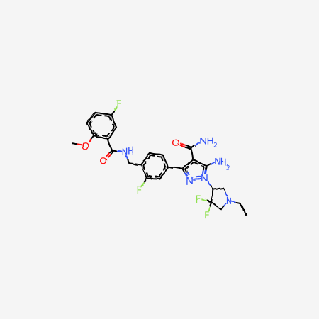 CCN1CC(n2nc(-c3ccc(CNC(=O)c4cc(F)ccc4OC)c(F)c3)c(C(N)=O)c2N)C(F)(F)C1